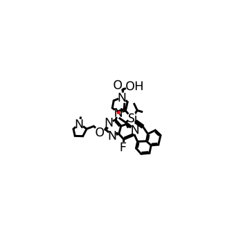 CC(C)[Si](C#Cc1cccc2cccc(-c3ncc4c(N5CCN(C(=O)O)CC5)nc(OCC5CCCN5C)nc4c3F)c12)(C(C)C)C(C)C